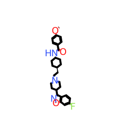 COc1ccc(C(=O)N[C@H]2CC[C@H](CCN3CCC(c4noc5cc(F)ccc45)CC3)CC2)cc1